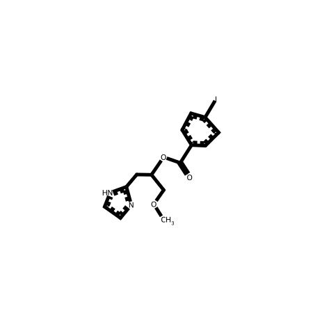 COCC(Cc1ncc[nH]1)OC(=O)c1ccc(I)cc1